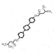 CC(C)C[C@H](Cl)COc1ccc(-c2ccc(-c3ccc(OC[C@@H](Cl)CC(C)C)cc3)cc2)cc1